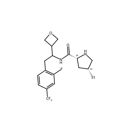 CC[C@H]1CN[C@@H](C(=O)NC(Cc2ccc(C(F)(F)F)cc2F)C2COC2)C1